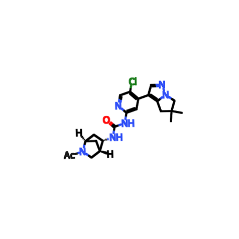 CC(=O)N1C[C@@H]2C[C@@H]1C[C@@H]2NC(=O)Nc1cc(-c2cnn3c2CC(C)(C)C3)c(Cl)cn1